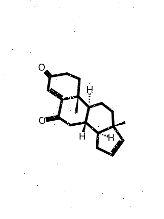 C[C@@]12C=CC[C@H]1[C@@H]1CC(=O)C3=CC(=O)CC[C@]3(C)[C@H]1CC2